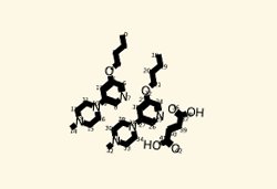 CCCCOc1cncc(N2CCN(C)CC2)c1.CCCCOc1cncc(N2CCN(C)CC2)c1.O=C(O)/C=C/C(=O)O